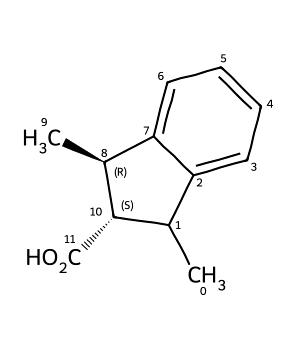 CC1c2ccccc2[C@H](C)[C@H]1C(=O)O